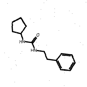 O=C(NCCc1ccccc1)NC1CCCC1